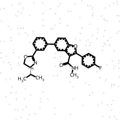 CNC(=O)c1c(-c2ccc(F)cc2)oc2ccc(-c3cccc(C4=N[C@H](C(C)C)CO4)c3)cc12